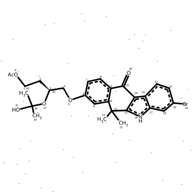 CC(=O)OCC[C@@H](COc1ccc2c(c1)C(C)(C)c1[nH]c3cc(Br)ccc3c1C2=O)OC(C)(C)O